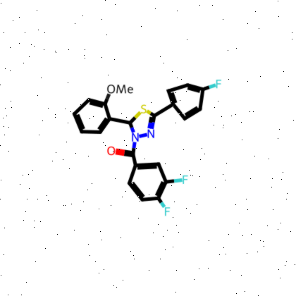 COc1ccccc1C1SC(c2ccc(F)cc2)=NN1C(=O)c1ccc(F)c(F)c1